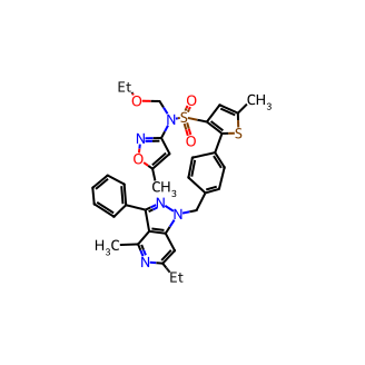 CCOCN(c1cc(C)on1)S(=O)(=O)c1cc(C)sc1-c1ccc(Cn2nc(-c3ccccc3)c3c(C)nc(CC)cc32)cc1